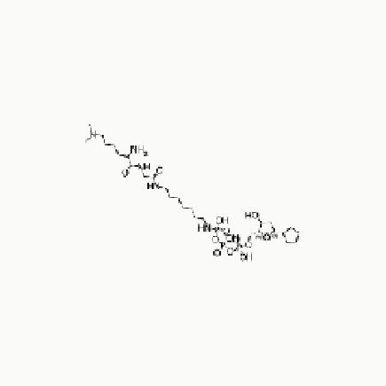 CN(C)CCCCC(N)C(=O)NCC(=O)NCCCCCCCNP(=O)(O)OP(=O)(O)OP(=O)(O)OC[C@H]1O[C@@H](C2CCCC2)CC1O